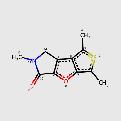 Cc1sc(C)c2c3c(oc12)C(=O)N(C)C3